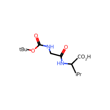 CC(C)C(NC(=O)CNC(=O)OC(C)(C)C)C(=O)O